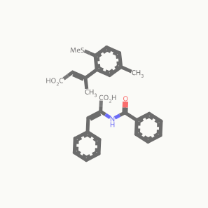 CSc1ccc(C)cc1C(C)=CC(=O)O.O=C(O)C(=Cc1ccccc1)NC(=O)c1ccccc1